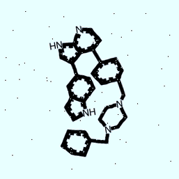 c1ccc(CN2CCN(Cc3ccc(-c4ccnc5[nH]cc(-c6ccc7[nH]ccc7c6)c45)cc3)CC2)cc1